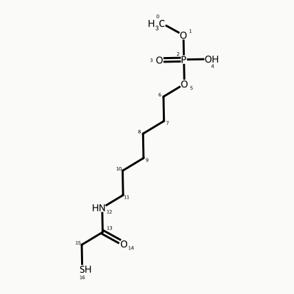 COP(=O)(O)OCCCCCCNC(=O)CS